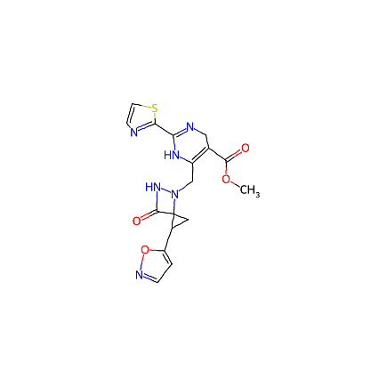 COC(=O)C1=C(CN2NC(=O)C23CC3c2ccno2)NC(c2nccs2)=NC1